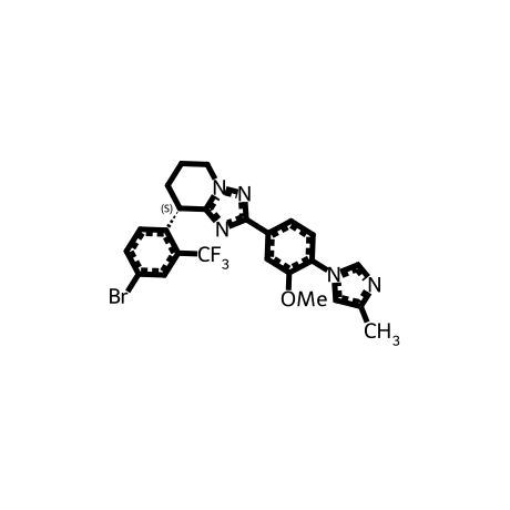 COc1cc(-c2nc3n(n2)CCC[C@H]3c2ccc(Br)cc2C(F)(F)F)ccc1-n1cnc(C)c1